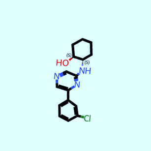 O[C@H]1CCCC[C@@H]1Nc1cncc(-c2cccc(Cl)c2)n1